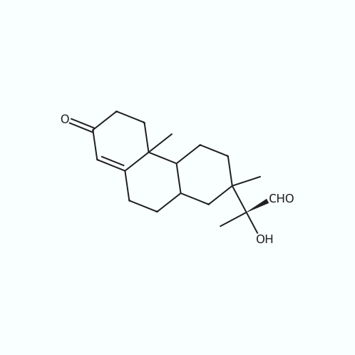 CC12CCC(=O)C=C1CCC1CC(C)([C@@](C)(O)C=O)CCC12